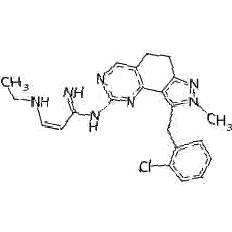 CCN/C=C\C(=N)Nc1ncc2c(n1)-c1c(nn(C)c1Cc1ccccc1Cl)CC2